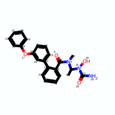 CC(N(C)C(=O)c1ccccc1-c1cccc(Oc2ccccc2)c1)N(O)C(N)=O